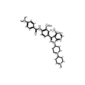 COc1cc(-c2nn(C3CCN(C4CCN(C)CC4)CC3)c3ncnc(N)c23)ccc1NC(=O)c1ccc(N(C)C)cc1